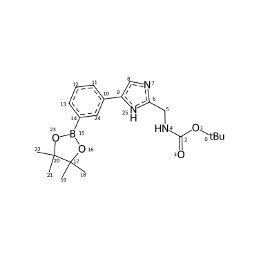 CC(C)(C)OC(=O)NCc1ncc(-c2cccc(B3OC(C)(C)C(C)(C)O3)c2)[nH]1